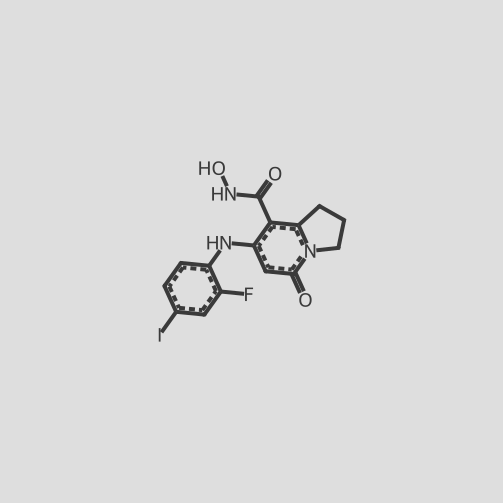 O=C(NO)c1c(Nc2ccc(I)cc2F)cc(=O)n2c1CCC2